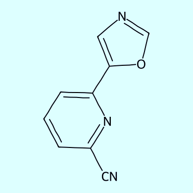 N#Cc1cccc(-c2cnco2)n1